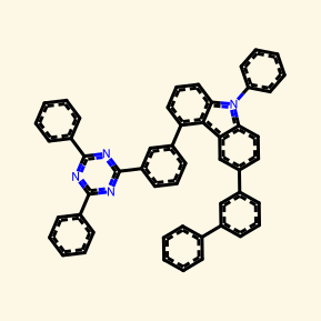 c1ccc(-c2cccc(-c3ccc4c(c3)c3c(-c5cccc(-c6nc(-c7ccccc7)nc(-c7ccccc7)n6)c5)cccc3n4-c3ccccc3)c2)cc1